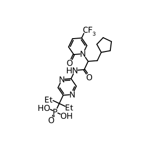 CCC(CC)(c1cnc(NC(=O)C(CC2CCCC2)n2cc(C(F)(F)F)ccc2=O)cn1)P(=O)(O)O